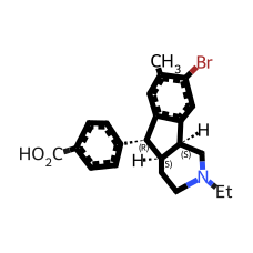 CCN1CC[C@H]2[C@H](c3ccc(C(=O)O)cc3)c3cc(C)c(Br)cc3[C@H]2C1